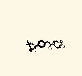 C=C1OB(c2ccc(CC(=O)N3CCS(=O)(=O)CC3)cc2)OC1(C)C